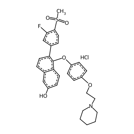 CS(=O)(=O)c1ccc(-c2ccc3cc(O)ccc3c2Oc2ccc(OCCN3CCCCC3)cc2)cc1F.Cl